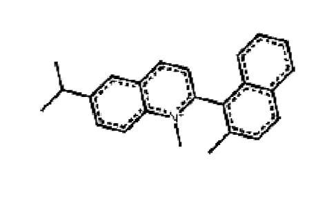 Cc1ccc2ccccc2c1-c1ccc2cc(C(C)C)ccc2[n+]1C